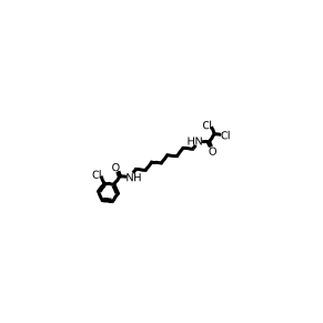 O=C(NCCCCCCCCNC(=O)C(Cl)Cl)c1ccccc1Cl